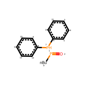 CCCCP=O.c1ccc(Pc2ccccc2)cc1